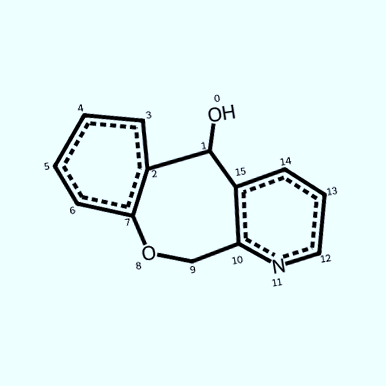 OC1c2ccccc2OCc2ncccc21